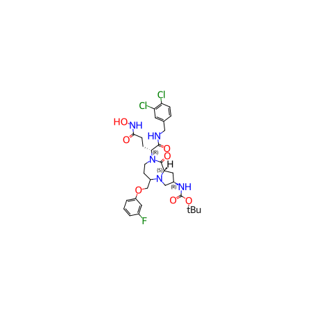 CC(C)(C)OC(=O)N[C@@H]1C[C@H]2C(=O)N([C@H](CCC(=O)NO)C(=O)NCc3ccc(Cl)c(Cl)c3)CCC(COc3cccc(F)c3)N2C1